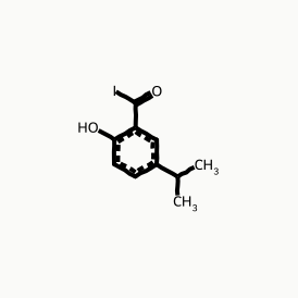 CC(C)c1ccc(O)c(C(=O)I)c1